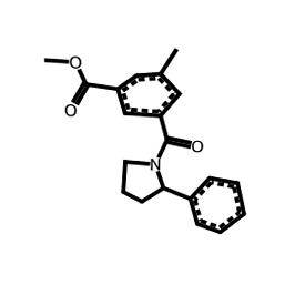 COC(=O)c1cc(C)cc(C(=O)N2CCCC2c2ccccc2)c1